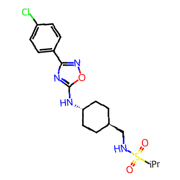 CC(C)S(=O)(=O)NC[C@H]1CC[C@H](Nc2nc(-c3ccc(Cl)cc3)no2)CC1